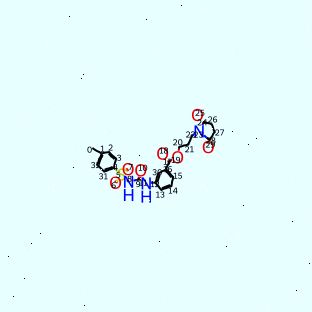 Cc1ccc(S(=O)(=O)NC(=O)Nc2cccc(C(=O)OCCCN3C(=O)CCC3=O)c2)cc1